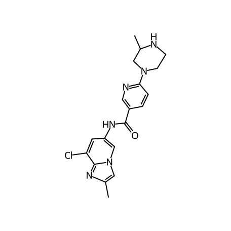 Cc1cn2cc(NC(=O)c3ccc(N4CCNC(C)C4)nc3)cc(Cl)c2n1